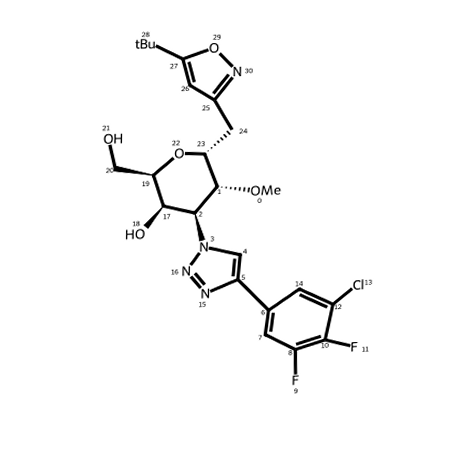 CO[C@@H]1[C@@H](n2cc(-c3cc(F)c(F)c(Cl)c3)nn2)[C@@H](O)[C@@H](CO)O[C@@H]1Cc1cc(C(C)(C)C)on1